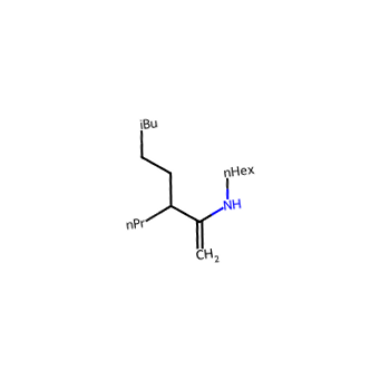 C=C(NCCCCCC)C(CCC)CCC(C)CC